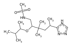 CC(CC(C)(C)C(CNS(C)(=O)=O)OC(C)C(C)C)c1nnc[nH]1